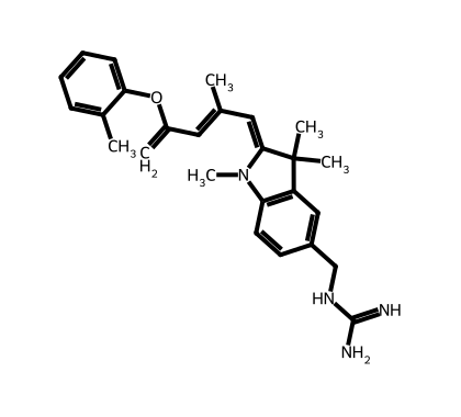 C=C(C=C(C)C=C1N(C)c2ccc(CNC(=N)N)cc2C1(C)C)Oc1ccccc1C